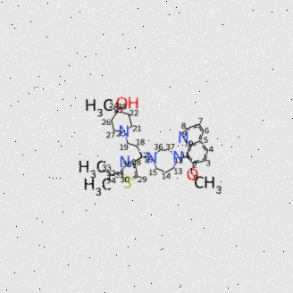 COc1ccc2cccnc2c1N1CCCN(C(CCN2CCC(C)(O)CC2)c2csc(C(C)C)n2)CC1